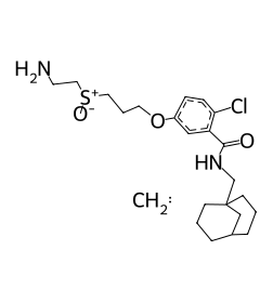 NCC[S+]([O-])CCCOc1ccc(Cl)c(C(=O)NCC23CCCC(CCC2)C3)c1.[CH2]